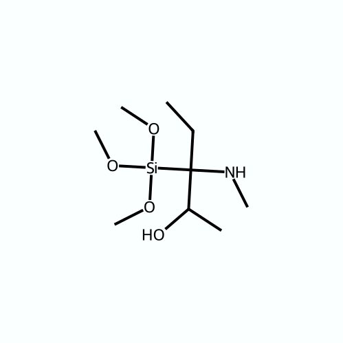 CCC(NC)(C(C)O)[Si](OC)(OC)OC